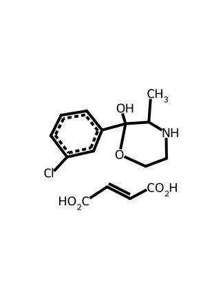 CC1NCCOC1(O)c1cccc(Cl)c1.O=C(O)/C=C/C(=O)O